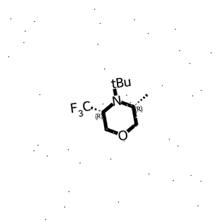 C[C@@H]1COC[C@H](C(F)(F)F)N1C(C)(C)C